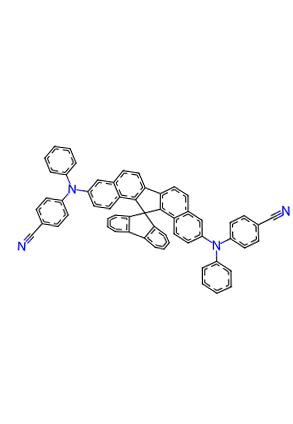 N#Cc1ccc(N(c2ccccc2)c2ccc3c4c(ccc3c2)-c2ccc3cc(N(c5ccccc5)c5ccc(C#N)cc5)ccc3c2C42c3ccccc3-c3ccccc32)cc1